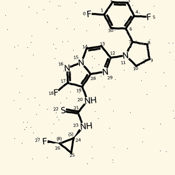 Fc1ccc(F)c(C2CCCN2c2ccn3nc(F)c(NC(=S)N[C@H]4C[C@H]4F)c3n2)c1